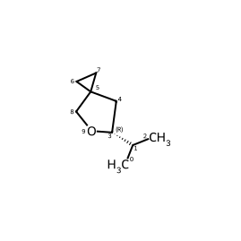 CC(C)[C@H]1CC2(CC2)CO1